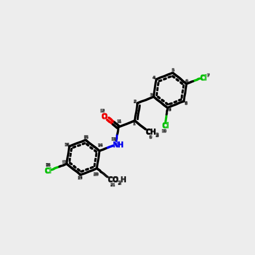 CC(=Cc1ccc(Cl)cc1Cl)C(=O)Nc1ccc(Cl)cc1C(=O)O